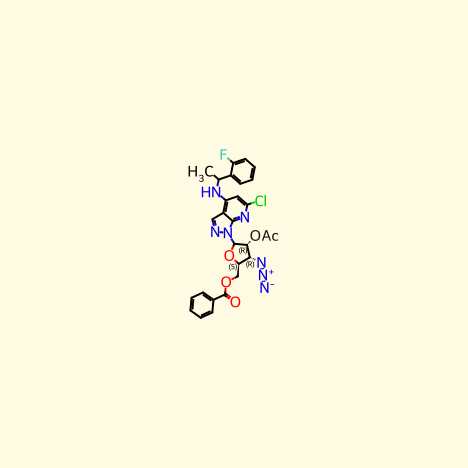 CC(=O)O[C@H]1C(n2ncc3c(NC(C)c4ccccc4F)cc(Cl)nc32)O[C@H](COC(=O)c2ccccc2)[C@H]1N=[N+]=[N-]